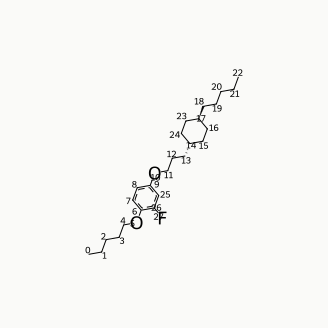 CCCCCOc1ccc(OCCC[C@H]2CC[C@H](CCCCC)CC2)cc1F